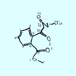 COC(=O)c1ccccc1C(=O)[N+](=O)[O-]